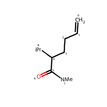 C=CCCC(C(=O)NC)C(C)C